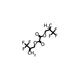 C=C(COC(=O)C(=O)OCC(=C)C(F)(F)F)C(F)(F)F